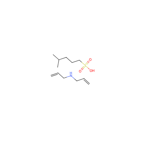 C=CCNCC=C.CC(C)CCCS(=O)(=O)O